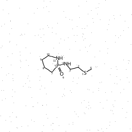 CSCCNP1(=O)CCCCN1